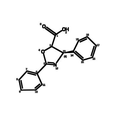 O=C(O)C1OC(c2ccccc2)=N[C@@H]1c1ccccc1